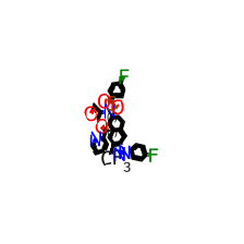 O=C(c1cc(C(F)(F)F)ccn1)[C@]12Cc3cnn(-c4ccc(F)cc4)c3C=C1CC[C@H](N(C1COC1)S(=O)(=O)c1ccc(F)cc1)C2